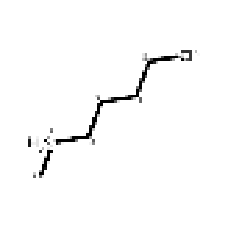 C[SiH2]CCCCCl